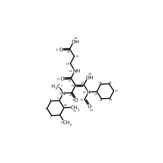 CC1CCCC(N(C)C(=O)/C(C(=O)NCCC(=O)O)=C(/O)N(C=O)C2CCCCC2)C1C